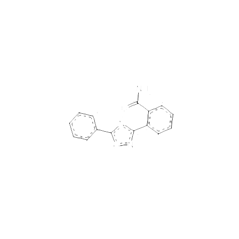 NC(=O)c1ccccc1-c1noc(-c2ccccc2)n1